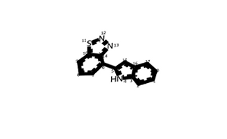 c1ccc2[nH]c(-c3cccc4snnc34)cc2c1